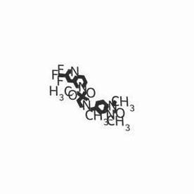 COCC1(C(=O)N2CCc3ncc(C(F)(F)F)cc3C2)CCN(C(C)c2ccc3c(c2)n(C)c(=O)n3C)C1